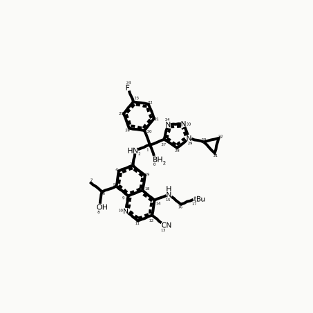 BC(Nc1cc(C(C)O)c2ncc(C#N)c(NCC(C)(C)C)c2c1)(c1ccc(F)cc1)c1cn(C2CC2)nn1